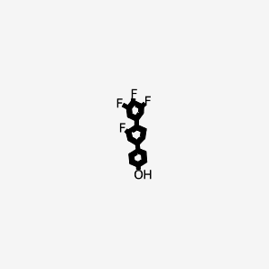 Oc1ccc(-c2ccc(-c3cc(F)c(F)c(F)c3)c(F)c2)cc1